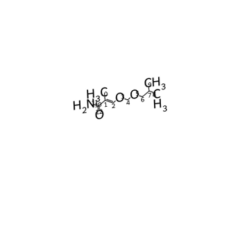 C/C(=C\OCOCC(C)C)C(N)=O